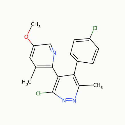 COc1cnc(-c2c(Cl)nnc(C)c2-c2ccc(Cl)cc2)c(C)c1